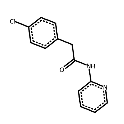 O=C(Cc1ccc(Cl)cc1)Nc1ccccn1